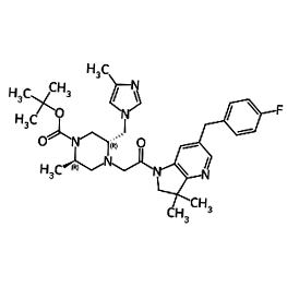 Cc1cn(C[C@H]2CN(C(=O)OC(C)(C)C)[C@H](C)CN2CC(=O)N2CC(C)(C)c3ncc(Cc4ccc(F)cc4)cc32)cn1